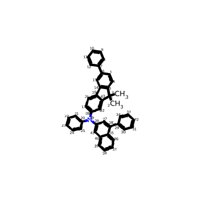 CC1(C)c2ccc(-c3ccccc3)cc2-c2ccc(N(c3ccccc3)c3cc(-c4ccccc4)c4ccccc4c3)cc21